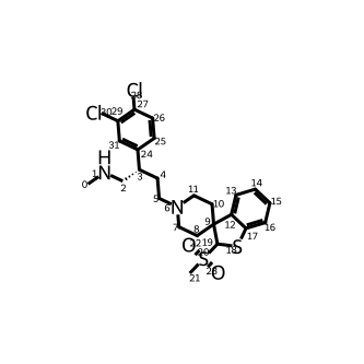 CNC[C@@H](CCN1CCC2(CC1)c1ccccc1SC2S(C)(=O)=O)c1ccc(Cl)c(Cl)c1